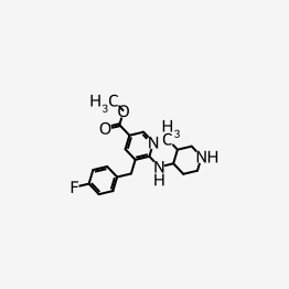 COC(=O)c1cnc(NC2CCNCC2C)c(Cc2ccc(F)cc2)c1